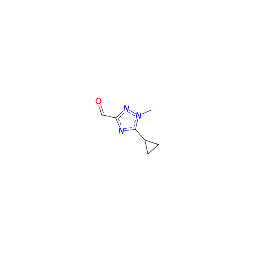 Cn1nc(C=O)nc1C1CC1